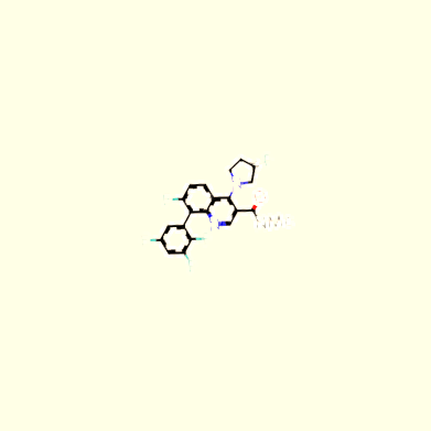 CNC(=O)c1cnc2c(-c3cc(F)cc(F)c3F)c(F)ccc2c1N1CC[C@H](F)C1